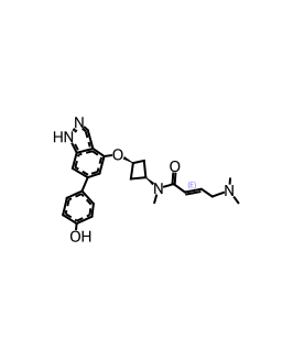 CN(C)C/C=C/C(=O)N(C)[C@H]1C[C@@H](Oc2cc(-c3ccc(O)cc3)cc3[nH]ncc23)C1